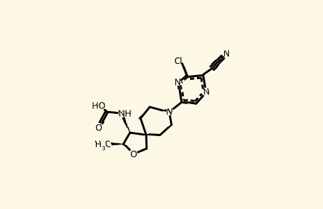 C[C@@H]1OCC2(CCN(c3cnc(C#N)c(Cl)n3)CC2)[C@@H]1NC(=O)O